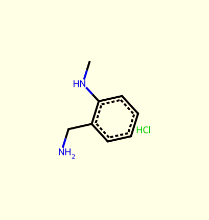 CNc1ccccc1CN.Cl